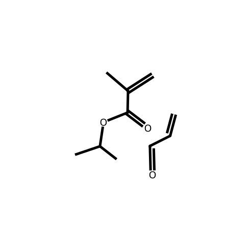 C=C(C)C(=O)OC(C)C.C=CC=O